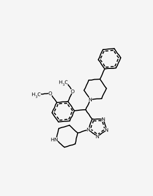 COc1cccc(C(c2nnnn2C2CCNCC2)N2CCC(c3ccccc3)CC2)c1OC